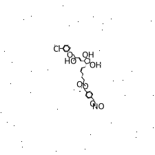 O=NOCc1ccc(COC(=O)CCC/C=C\C[C@@H]2[C@@H](/C=C/[C@@H](O)COc3cccc(Cl)c3)[C@H](O)C[C@@H]2O)cc1